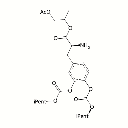 CCCC(C)OC(=O)Oc1cc(C[C@H](N)C(=O)OC(C)COC(C)=O)ccc1OC(=O)O[C@H](C)CCC